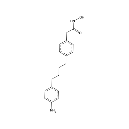 Nc1ccc(CCCCc2ccc(CC(=O)NO)cc2)cc1